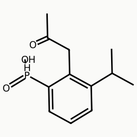 CC(=O)Cc1c(C(C)C)cccc1[PH](=O)O